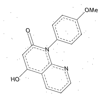 COc1ccc(-n2c(=O)cc(O)c3cccnc32)cc1